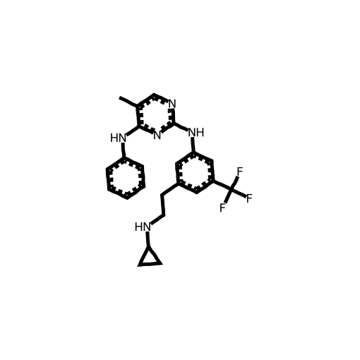 Cc1cnc(Nc2cc(CCNC3CC3)cc(C(F)(F)F)c2)nc1Nc1ccccc1